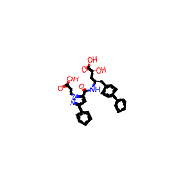 O=C(O)CCn1nc(-c2ccccc2)cc1C(=O)N[C@H](Cc1ccc(-c2ccccc2)cc1)C[C@@H](O)C(=O)O